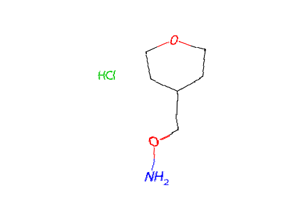 Cl.NOCC1CCOCC1